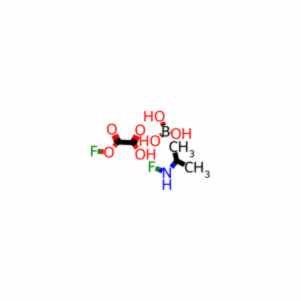 CC(C)NF.O=C(O)C(=O)OF.OB(O)O